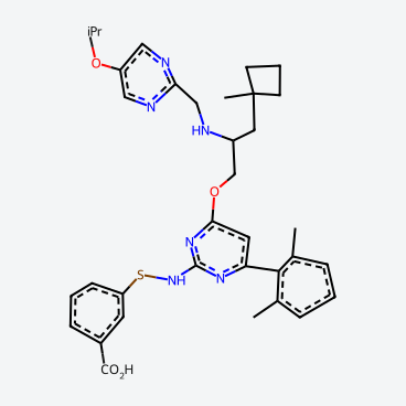 Cc1cccc(C)c1-c1cc(OCC(CC2(C)CCC2)NCc2ncc(OC(C)C)cn2)nc(NSc2cccc(C(=O)O)c2)n1